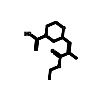 CCOC(=O)C(C)=CC1CN(C(=O)O)CCO1